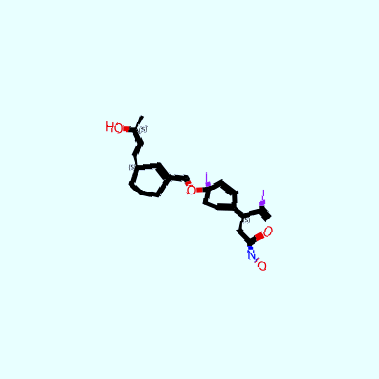 C=C(I)[C@@H](CC(=O)N=O)C1=CCC(I)(OCC2=C[C@H](CC[C@H](C)O)CCC2)C=C1